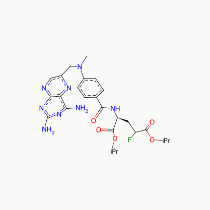 CC(C)OC(=O)C(F)C[C@H](NC(=O)c1ccc(N(C)Cc2cnc3nc(N)nc(N)c3n2)cc1)C(=O)OC(C)C